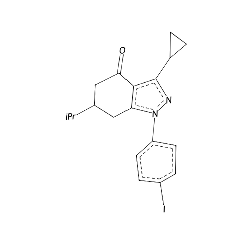 CC(C)C1CC(=O)c2c(C3CC3)nn(-c3ccc(I)cc3)c2C1